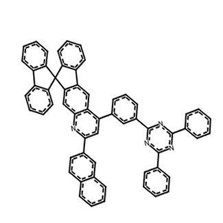 c1ccc(-c2nc(-c3ccccc3)nc(-c3cccc(-c4cc(-c5ccc6ccccc6c5)nc5cc6c(cc45)-c4ccccc4C64c5ccccc5-c5ccccc54)c3)n2)cc1